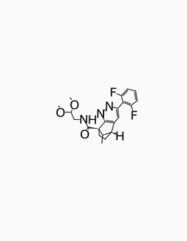 COC(CNC(=O)[C@@]12CC[C@@H](c3cc(-c4c(F)cccc4F)nnc31)C2C)OC